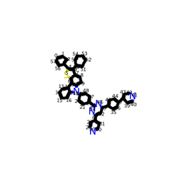 c1ccc(-c2sc3c(ccc4c3c3ccccc3n4-c3ccc(-c4nc(-c5ccncc5)cc(-c5ccc(-c6ccncc6)cc5)n4)cc3)c2-c2ccccc2)cc1